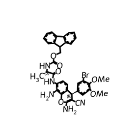 COc1cc([C@H]2C(C#N)=C(N)Oc3c2ccc(NC(=O)[C@H](C)NC(=O)OCC2c4ccccc4-c4ccccc42)c3N)cc(Br)c1OC